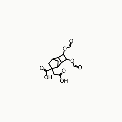 O=COC1C(OC=O)C2C1C1CC2C(CC(=O)O)(C(=O)O)C1